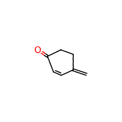 C=C1C=CC(=O)CC1